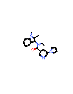 CCN(C(=O)c1cncc(-n2cccc2)c1)c1c(C)n(C)c2ccccc12